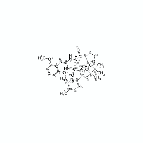 COc1cccc(OC)c1/N=C(/NNC(=O)[C@@H]1CCOC1)NS(=O)(=O)[C@@H](C)[C@H](O[Si](C)(C)C(C)(C)C)c1ncc(C)cn1